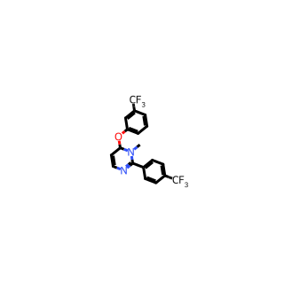 CN1C(c2ccc(C(F)(F)F)cc2)=NC=CC1Oc1cccc(C(F)(F)F)c1